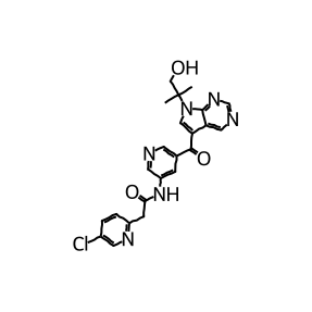 CC(C)(CO)n1cc(C(=O)c2cncc(NC(=O)Cc3ccc(Cl)cn3)c2)c2cncnc21